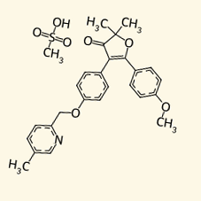 COc1ccc(C2=C(c3ccc(OCc4ccc(C)cn4)cc3)C(=O)C(C)(C)O2)cc1.CS(=O)(=O)O